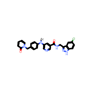 CC(=O)N(c1ccc(Cn2ccccc2=O)cc1)c1cncc(C(=O)NCc2n[nH]c3ccc(Cl)cc23)c1